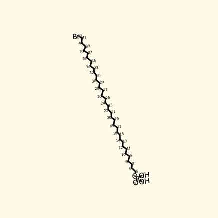 O=P(O)(O)OCCCCCCCCCCCCCCCCCCCCCCCCCCCCCCCCCCCCCBr